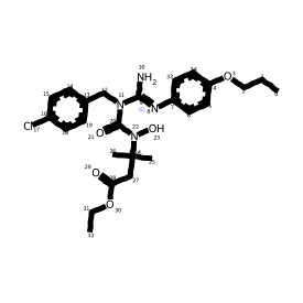 CCCOc1ccc(/N=C(\N)N(Cc2ccc(Cl)cc2)C(=O)N(O)C(C)(C)CC(=O)OCC)cc1